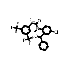 C[C@H](C(=O)N(C)c1ccc(Cl)cc1C(=O)c1ccccc1)c1cc(C(F)(F)F)cc(C(F)(F)F)c1